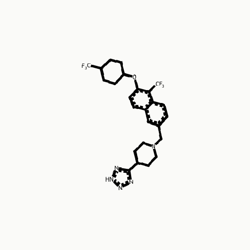 FC(F)(F)c1c(OC2CCC(C(F)(F)F)CC2)ccc2cc(CN3CCC(c4nn[nH]n4)CC3)ccc12